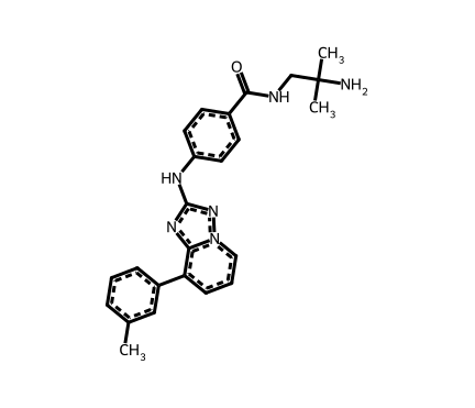 Cc1cccc(-c2cccn3nc(Nc4ccc(C(=O)NCC(C)(C)N)cc4)nc23)c1